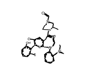 C/N=C(\c1cc(Cl)c(-c2c(O)cccc2F)nc1N(C=O)c1ccccc1N(C)C)N1CCN(C=O)CC1C